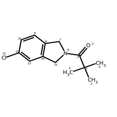 CC(C)(C)C(=O)N1Cc2ccc(Cl)cc2C1